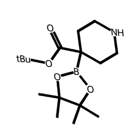 CC(C)(C)OC(=O)C1(B2OC(C)(C)C(C)(C)O2)CCNCC1